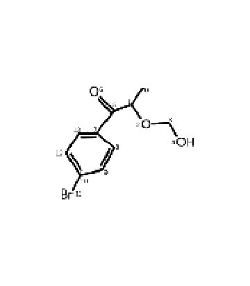 CC(OCO)C(=O)c1ccc(Br)cc1